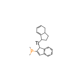 CP(C)C1=Cc2ccccc2[CH]1[Ti][CH]1CCC2CC=CC=C21